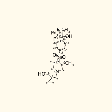 CC1CN(CC2(CO)CC2)CCN1S(=O)(=O)c1ccc(C(C)(O)C(F)(F)F)cc1